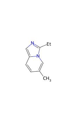 CCc1ncc2ccc(C)cn12